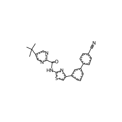 CC(C)(C)c1cnc(C(=O)Nc2nc(-c3cccc(-c4ccc(C#N)cc4)c3)cs2)nc1